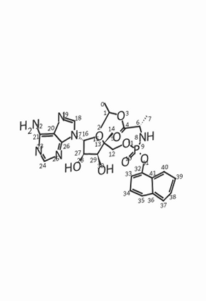 CC(C)OC(=O)[C@H](C)NP(=O)(OC[C@@]1(C)O[C@@H](n2cnc3c(N)ncnc32)[C@H](O)[C@@H]1O)Oc1cccc2ccccc12